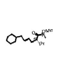 CON(C)C(=O)[C@@H](CC=CCC1CCCCC1)C(C)C